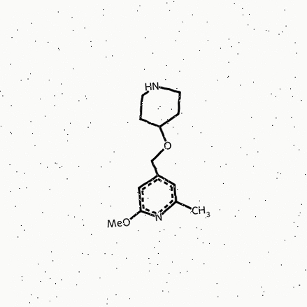 COc1cc(COC2CCNCC2)cc(C)n1